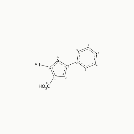 O=C(O)c1cc(-c2ccccc2)sc1I